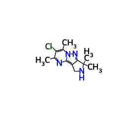 Cc1nc2c3c(nn2c(C)c1Cl)C(C)(C)NC3